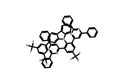 FC(F)(F)c1cc(-c2ccc3c4ccccc4n(-c4c(-c5cc(-c6ccccc6)nc(-c6ccccc6)n5)cc(C(F)(F)F)cc4-c4cc(-c5ccccc5)nc(-c5ccccc5)n4)c3c2)cc(C(F)(F)F)c1